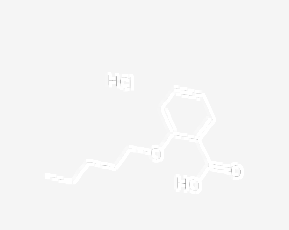 CCCCCOc1ccccc1C(=O)O.Cl